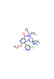 COc1ncc(C(=O)NC(C)C2CC2)c(N2CC[C@](C)(N)C2)c1-c1cncc(Cl)c1